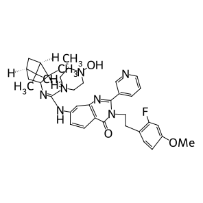 COc1ccc(CCn2c(-c3cccnc3)nc3cc(N/C(=N/C4C[C@H]5C[C@@H]([C@@H]4C)C5(C)C)N4CCN(O)[C@@H](C)C4)ccc3c2=O)c(F)c1